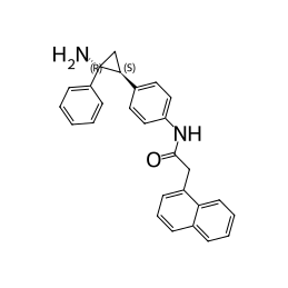 N[C@]1(c2ccccc2)C[C@H]1c1ccc(NC(=O)Cc2cccc3ccccc23)cc1